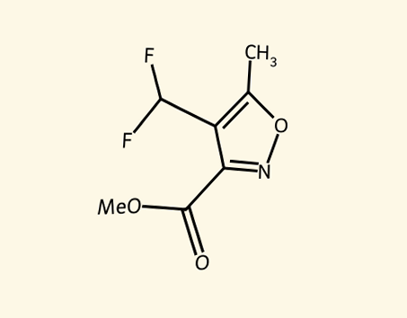 COC(=O)c1noc(C)c1C(F)F